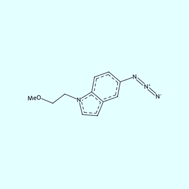 COCCn1ccc2cc(N=[N+]=[N-])ccc21